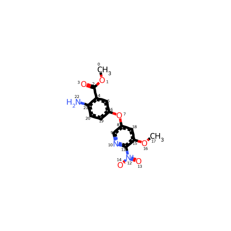 COC(=O)c1cc(Oc2cnc([N+](=O)[O-])c(OC)c2)ccc1N